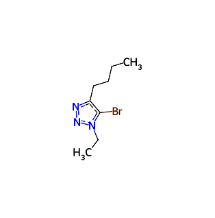 CCCCc1nnn(CC)c1Br